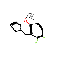 COc1ccc(F)c(F)c1CC1CC=CC1